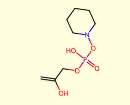 C=C(O)COP(=O)(O)ON1CCCCC1